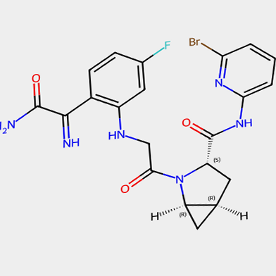 N=C(C(N)=O)c1ccc(F)cc1NCC(=O)N1[C@@H]2C[C@@H]2C[C@H]1C(=O)Nc1cccc(Br)n1